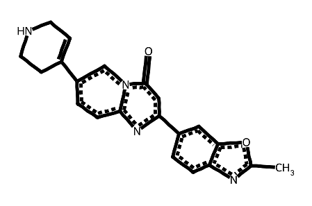 Cc1nc2ccc(-c3cc(=O)n4cc(C5=CCNCC5)ccc4n3)cc2o1